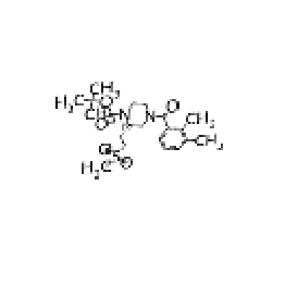 Cc1cccc(C(=O)N2CCN(C(=O)OC(C)(C)C)[C@@H](CCS(C)(=O)=O)C2)c1C